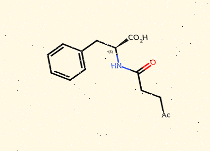 CC(=O)CCC(=O)N[C@@H](Cc1ccccc1)C(=O)O